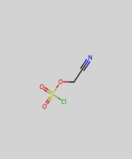 N#CCOS(=O)(=O)Cl